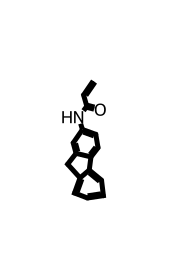 C=CC(=O)Nc1ccc2c(c1)Cc1ccccc1-2